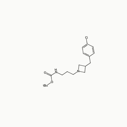 CC(C)(C)OC(=O)NCCCN1CC(Cc2ccc(Cl)cc2)C1